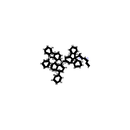 C=C/C=C\C=C(/C)C1(c2ccccc2)c2ccccc2-c2cc(N(c3ccc4c5ccccc5n(-c5ccccc5)c4c3)c3ccc(-c4ccccc4)c4ccccc34)ccc21